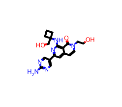 Nc1ncc(-c2cc3ccn(CCO)c(=O)c3c(NC3(CO)CCC3)n2)cn1